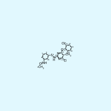 CONc1cccc(SNc2nc(Cl)cc(Oc3c(C)cccc3Cl)n2)c1